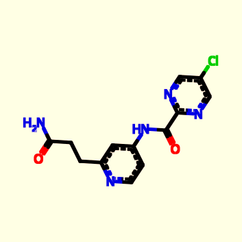 NC(=O)CCc1cc(NC(=O)c2ncc(Cl)cn2)ccn1